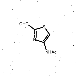 CC(=O)Nc1csc(C=O)n1